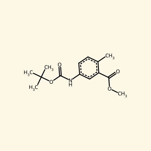 COC(=O)c1cc(NC(=O)OC(C)(C)C)ccc1C